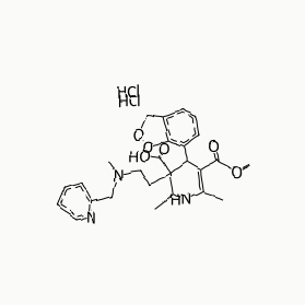 COC(=O)C1=C(C)NC(C)C(CCN(C)Cc2ccccn2)(C(=O)O)C1c1cccc2c1OOC2.Cl.Cl